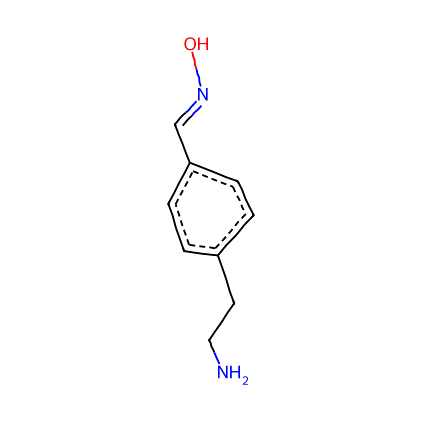 NCCc1ccc(C=NO)cc1